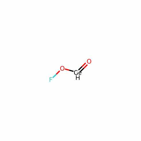 [O]=[GeH][O]F